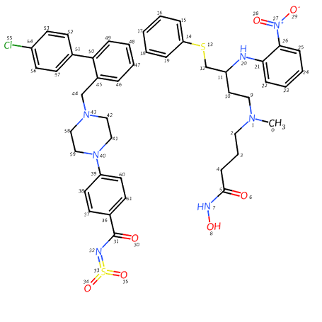 CN(CCCC(=O)NO)CCC(CSc1ccccc1)Nc1ccccc1[N+](=O)[O-].O=C(N=S(=O)=O)c1ccc(N2CCN(Cc3ccccc3-c3ccc(Cl)cc3)CC2)cc1